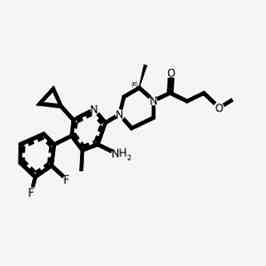 COCCC(=O)N1CCN(c2nc(C3CC3)c(-c3cccc(F)c3F)c(C)c2N)C[C@H]1C